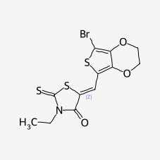 CCN1C(=O)/C(=C/c2sc(Br)c3c2OCCO3)SC1=S